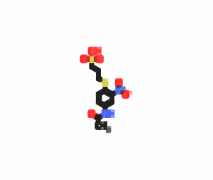 CC(=O)Nc1ccc(SCCCS(=O)(=O)O)c([N+](=O)[O-])c1